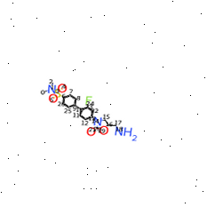 CN(C)S(=O)(=O)c1ccc(-c2ccc(N3CC(CN)OC3=O)cc2F)cc1